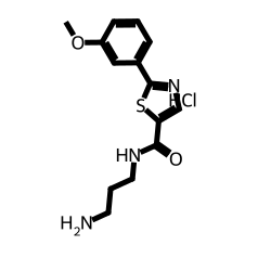 COc1cccc(-c2ncc(C(=O)NCCCN)s2)c1.Cl